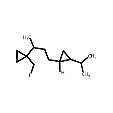 CC(C)C1CC1(C)CCC(C)C1(CF)CC1